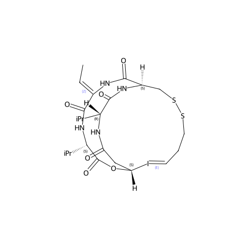 C/C=C1\NC(=O)[C@H]2CSSCC/C=I/[C@@H](CC(=O)N[C@H](C(C)C)C(=O)N2)OC(=O)[C@H](C(C)C)NC1=O